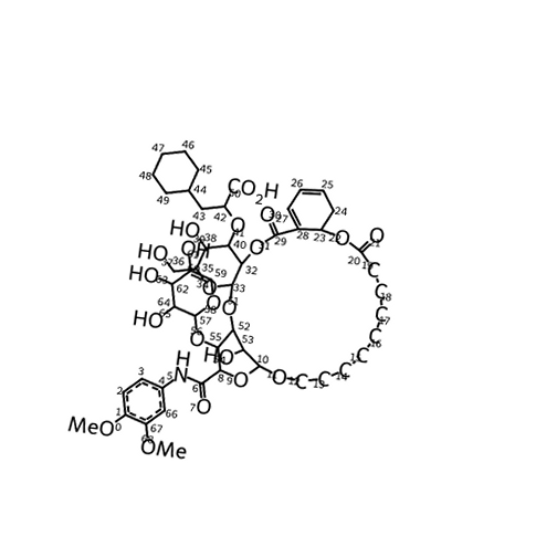 COc1ccc(NC(=O)C2OC3OCCCCCCCCC(=O)OC4CC=CC=C4C(=O)OC4C(OC(CO)C(O)C4OC(CC4CCCCC4)C(=O)O)OC(C3O)C2OC2OC=C(O)C(O)C2O)cc1OC